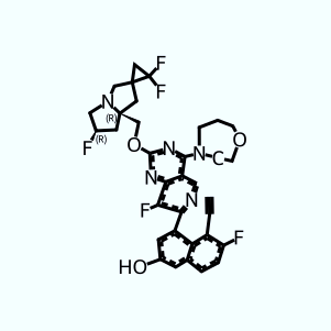 C#Cc1c(F)ccc2cc(O)cc(-c3ncc4c(N5CCCOCC5)nc(OC[C@@]56C[C@@H](F)CN5CC5(CC5(F)F)C6)nc4c3F)c12